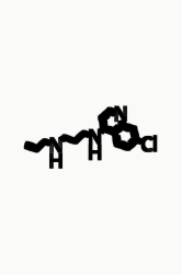 C=CCNCCCNc1ccnc2cc(Cl)ccc12